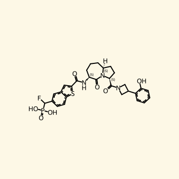 O=C(N[C@H]1CCC[C@H]2CC[C@@H](C(=O)N3CC(c4ccccc4O)C3)N2C1=O)c1cc2cc(C(F)P(=O)(O)O)ccc2s1